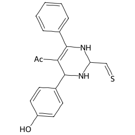 CC(=O)C1=C(c2ccccc2)NC(C=S)NC1c1ccc(O)cc1